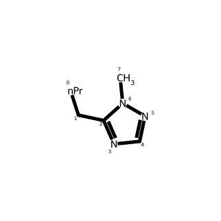 CCCCc1ncnn1C